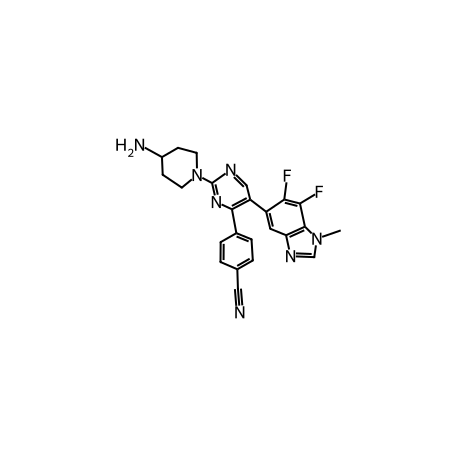 Cn1cnc2cc(-c3cnc(N4CCC(N)CC4)nc3-c3ccc(C#N)cc3)c(F)c(F)c21